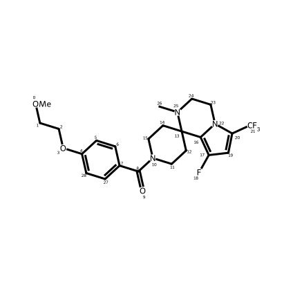 COCCOc1ccc(C(=O)N2CCC3(CC2)c2c(F)cc(C(F)(F)F)n2CCN3C)cc1